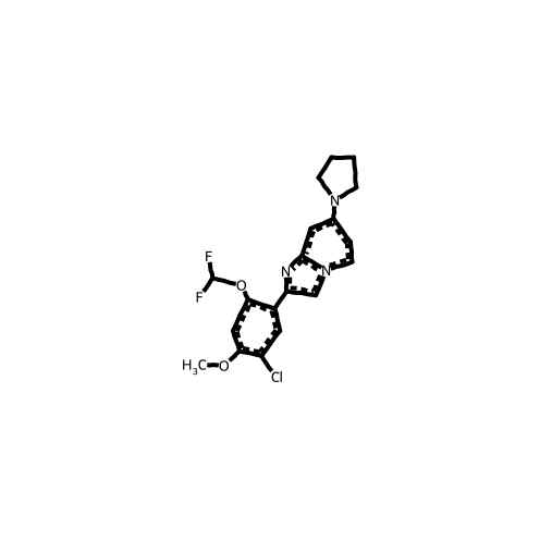 COc1cc(OC(F)F)c(-c2cn3ccc(N4CCCC4)cc3n2)cc1Cl